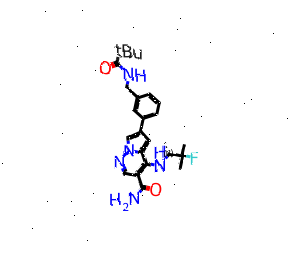 C[C@@H](Nc1c(C(N)=O)cnn2cc(-c3cccc(CNC(=O)C(C)(C)C)c3)cc12)C(C)(C)F